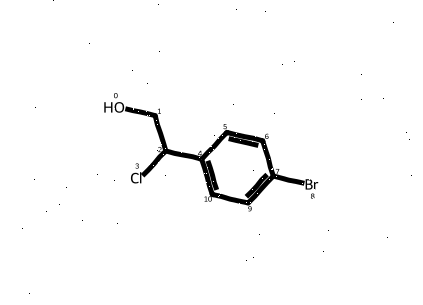 OCC(Cl)c1ccc(Br)cc1